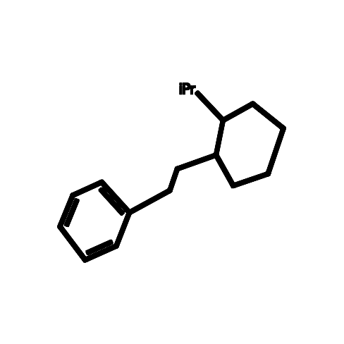 CC(C)C1CCCCC1CCc1ccccc1